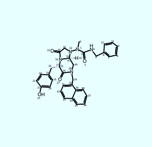 CN(C(=O)NCc1ccccc1)N1CC(=O)N2[C@@H](Cc3ccc(O)cc3)C(=O)N(Cc3cccc4ccccc34)C[C@@H]21